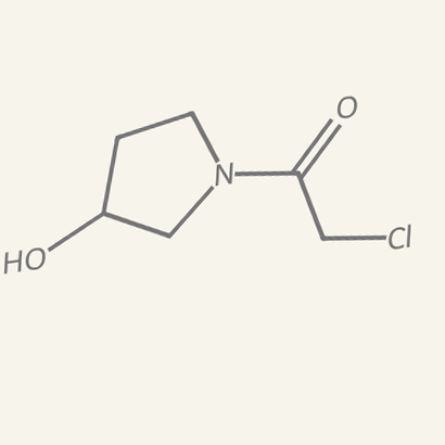 O=C(CCl)N1CCC(O)C1